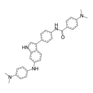 CN(C)c1ccc(Nc2ccc3c(-c4ccc(NC(=O)c5ccc(N(C)C)cc5)cc4)c[nH]c3c2)cc1